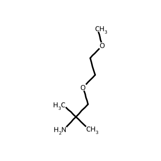 COCCOCC(C)(C)N